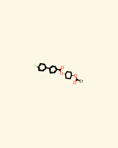 CCC(=O)O[C@H]1CC[C@H](OC(=O)c2ccc(-c3ccc(F)cc3)cc2)CC1